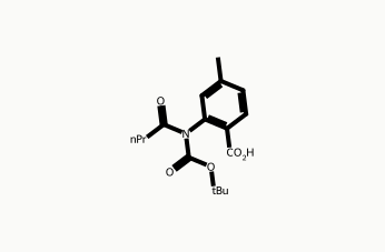 CCCC(=O)N(C(=O)OC(C)(C)C)c1cc(C)ccc1C(=O)O